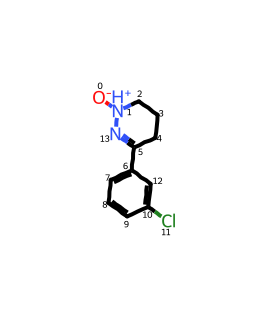 [O-][NH+]1CCCC(c2cccc(Cl)c2)=N1